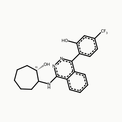 Oc1cc(C(F)(F)F)ccc1-c1nnc(NC2CCCCC[C@@H]2O)c2ccccc12